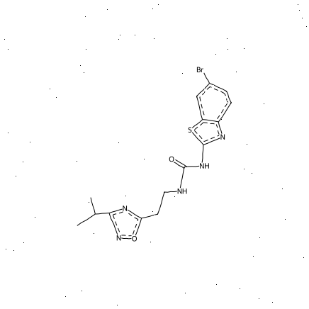 CC(C)c1noc(CCNC(=O)Nc2nc3ccc(Br)cc3s2)n1